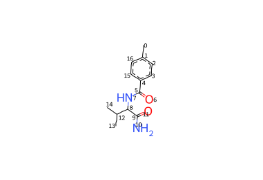 Cc1ccc(C(=O)NC(C(N)=O)C(C)C)cc1